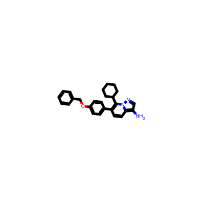 Nc1cnn2c(C3CCCCC3)c(-c3ccc(OCc4ccccc4)cc3)ccc12